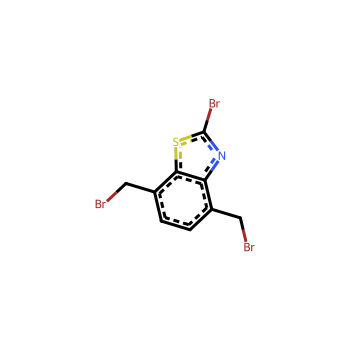 BrCc1ccc(CBr)c2sc(Br)nc12